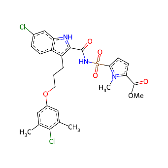 COC(=O)c1ccc(S(=O)(=O)NC(=O)c2[nH]c3cc(Cl)ccc3c2CCCOc2cc(C)c(Cl)c(C)c2)n1C